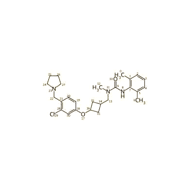 Cc1cccc(C)c1NC(=O)N(C)CC1CC(Oc2ccc(CN3CCCC3)c(Cl)c2)C1